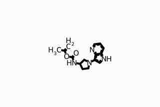 C=C(C)OC(=O)NC1CCN(c2c[nH]c3cccnc23)C1